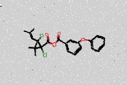 CC(C)=CC1(Cl)C(C)(C)C1(Cl)C(=O)OC(=O)c1cccc(Oc2ccccc2)c1